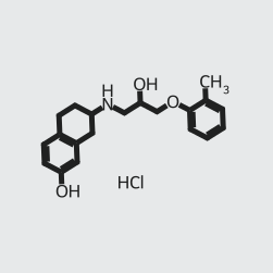 Cc1ccccc1OCC(O)CNC1CCc2ccc(O)cc2C1.Cl